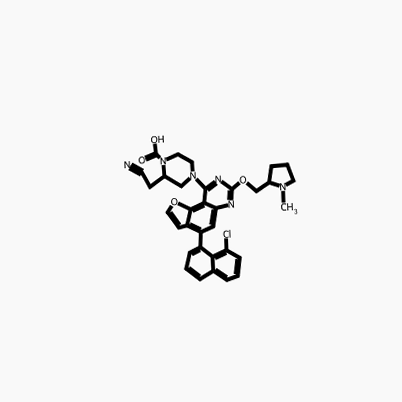 CN1CCCC1COc1nc(N2CCN(C(=O)O)C(CC#N)C2)c2c(cc(-c3cccc4cccc(Cl)c34)c3ccoc32)n1